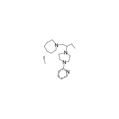 CCC(CN1CCCCCC1)N1CCN(c2ccccn2)CC1.CI